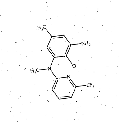 Cc1cc(N)c(Cl)c(N(C)c2cccc(C(F)(F)F)n2)c1